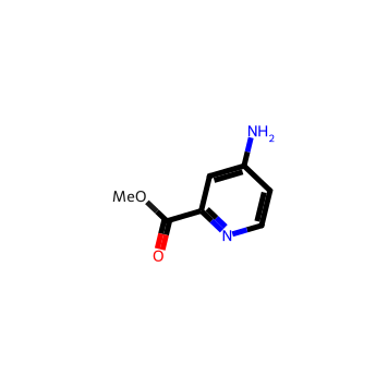 COC(=O)c1cc(N)ccn1